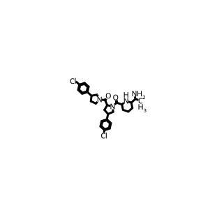 CC(N)C1CCCC(C(=O)N2CC(c3ccc(Cl)cc3)CC2C(=O)N2CCC(c3ccc(Cl)cc3)C2)N1